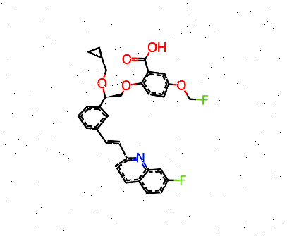 O=C(O)c1cc(OCF)ccc1OC[C@H](OCC1CC1)c1cccc(/C=C/c2ccc3ccc(F)cc3n2)c1